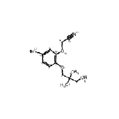 CC(C)(CO)COc1ccc(Br)cc1OCC#N